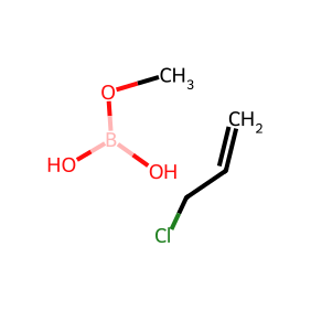 C=CCCl.COB(O)O